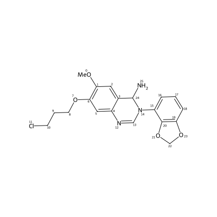 COc1cc2c(cc1OCCCCl)N=CN(c1cccc3c1OCO3)C2N